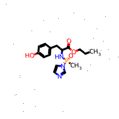 CCCOC(=O)C(Cc1ccc(O)cc1)NP(C)(=O)n1ccnc1